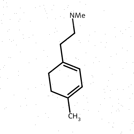 CNCCC1=CC=C(C)CC1